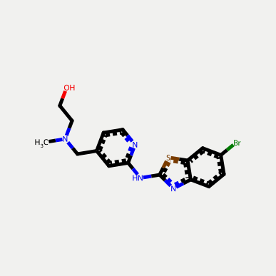 CN(CCO)Cc1ccnc(Nc2nc3ccc(Br)cc3s2)c1